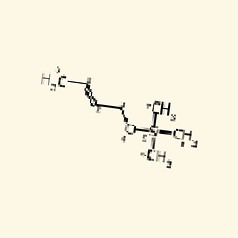 CC=CCO[Si](C)(C)C